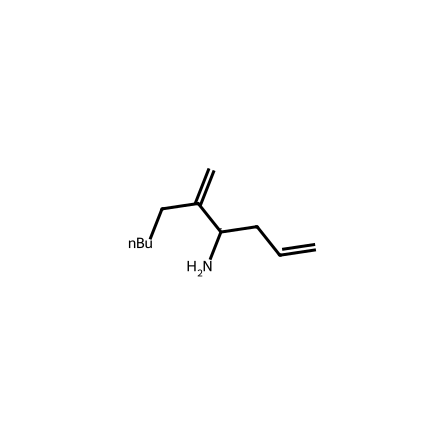 C=CC[C](N)C(=C)CCCCC